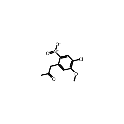 COc1cc(CC(C)=O)c([N+](=O)[O-])cc1Cl